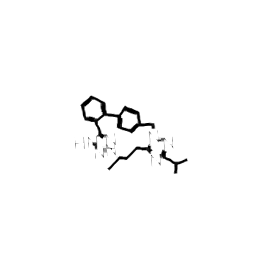 CCCCc1nc(C(C)C)nn1Cc1ccc(-c2ccccc2-c2nnn[nH]2)cc1